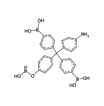 Nc1ccc(C(c2ccc(OBO)cc2)(c2ccc(B(O)O)cc2)c2ccc(B(O)O)cc2)cc1